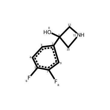 OC1(c2ccc(F)c(F)c2)CNC1